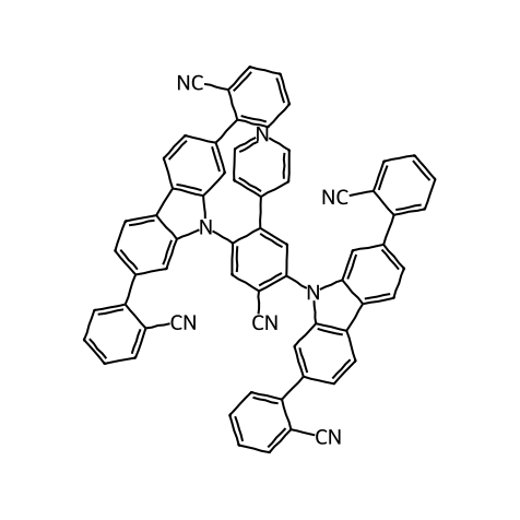 N#Cc1ccccc1-c1ccc2c3ccc(-c4ccccc4C#N)cc3n(-c3cc(-c4ccncc4)c(-n4c5cc(-c6ccccc6C#N)ccc5c5ccc(-c6ccccc6C#N)cc54)cc3C#N)c2c1